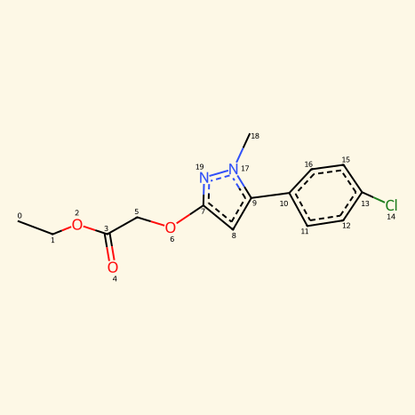 CCOC(=O)COc1cc(-c2ccc(Cl)cc2)n(C)n1